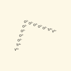 [O-2].[O-2].[O-2].[O-2].[O-2].[O-2].[O-2].[O-2].[O-2].[Ti+4].[Ti+4].[V+5].[V+5]